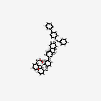 c1ccc(-c2ccc(N(c3ccccc3)c3ccc4c(c3)oc3cc(-c5ccc6c(c5)[Si]5(c7ccccc7O6)c6ccccc6Sc6ccccc65)ccc34)cc2)cc1